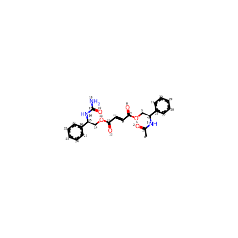 CC(=O)N[C@@H](COC(=O)/C=C/C(=O)OC[C@H](NC(N)=O)c1ccccc1)c1ccccc1